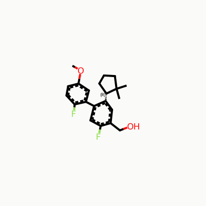 COc1ccc(F)c(-c2cc(F)c(CO)cc2[C@@H]2CCCC2(C)C)c1